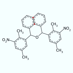 Cc1cc(C(OC(c2ccccc2)c2cc(C)cc([N+](=O)[O-])c2C)c2ccccc2)c(C)c([N+](=O)[O-])c1